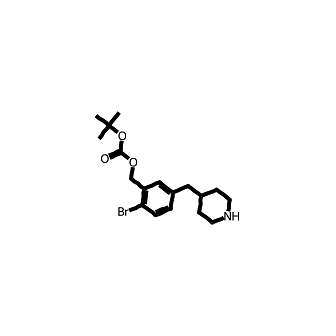 CC(C)(C)OC(=O)OCc1cc(CC2CCNCC2)ccc1Br